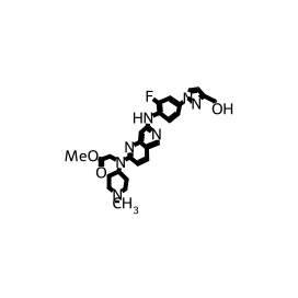 COC(=O)CN(c1ccc2cnc(Nc3ccc(-n4ccc(CO)n4)cc3F)cc2n1)C1CCN(C)CC1